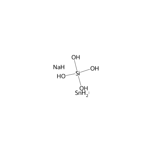 O[Si](O)(O)O.[NaH].[SnH2]